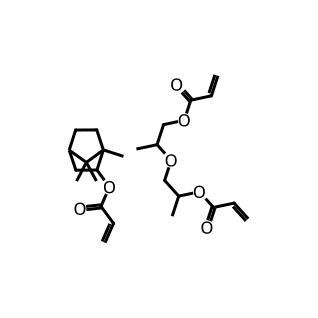 C=CC(=O)OC1CC2CCC1(C)C2(C)C.C=CC(=O)OCC(C)OCC(C)OC(=O)C=C